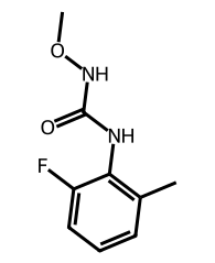 CONC(=O)Nc1c(C)cccc1F